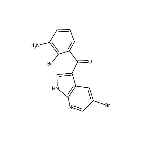 Nc1cccc(C(=O)c2c[nH]c3ncc(Br)cc23)c1Br